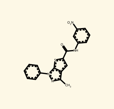 Cc1nn(-c2ccccc2)c2sc(C(=O)Nc3cccc([N+](=O)[O-])c3)cc12